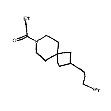 CCC(=O)N1CCC2(CC1)CC(CCC(C)C)C2